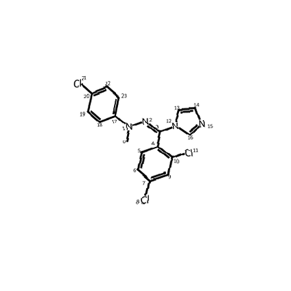 CN(/N=C(\c1ccc(Cl)cc1Cl)n1ccnc1)c1ccc(Cl)cc1